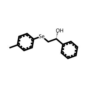 Cc1ccc([Se]C[C@H](O)c2ccccc2)cc1